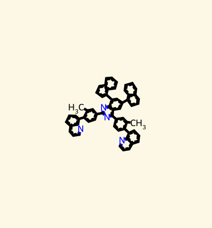 Cc1cc(-c2nc(-c3ccc(-c4cccc5cccnc45)c(C)c3)c3cc(-c4cccc5ccccc45)cc(-c4cccc5ccccc45)c3n2)ccc1-c1cccc2cccnc12